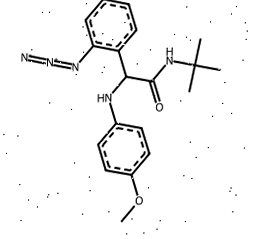 COc1ccc(NC(C(=O)NC(C)(C)C)c2ccccc2N=[N+]=[N-])cc1